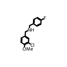 COc1ccc(CNCc2ccc(F)cc2)cc1Cl